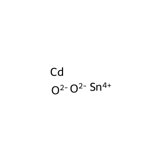 [Cd].[O-2].[O-2].[Sn+4]